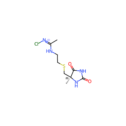 C/C(=N/Cl)NCCSC[C@]1(C)NC(=O)NC1=O